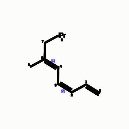 C=C/C=C\C=C(/C)CC(C)C